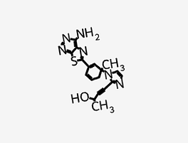 CC(O)C#Cc1nccn1C1(C)C=C(c2nc3c(N)ncnc3s2)C=CC1